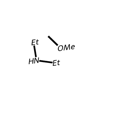 CCNCC.COC